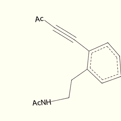 CC(=O)C#Cc1ccccc1CCNC(C)=O